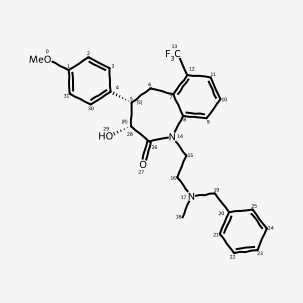 COc1ccc([C@@H]2Cc3c(cccc3C(F)(F)F)N(CCN(C)Cc3ccccc3)C(=O)[C@@H]2O)cc1